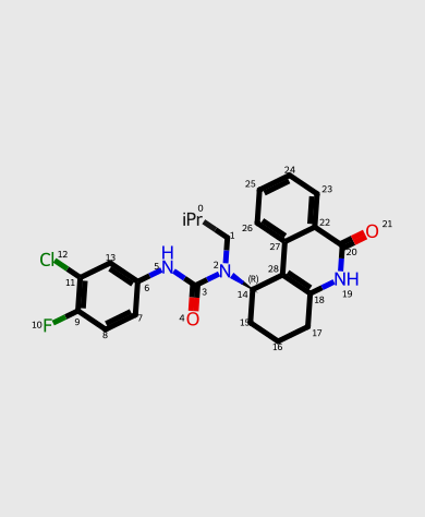 CC(C)CN(C(=O)Nc1ccc(F)c(Cl)c1)[C@@H]1CCCc2[nH]c(=O)c3ccccc3c21